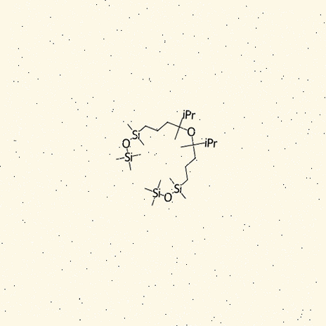 CC(C)C(C)(CCC[Si](C)(C)O[Si](C)(C)C)OC(C)(CCC[Si](C)(C)O[Si](C)(C)C)C(C)C